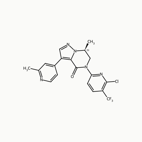 Cc1cc(-c2cnn3c2C(=O)N(c2ccc(C(F)(F)F)c(Cl)n2)C[C@@H]3C)ccn1